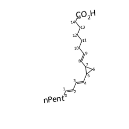 CCCCCC=CC=CC1CC1C=CCCCCCC(=O)O